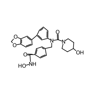 O=C(NO)c1ccc(CN(C(=O)N2CCC(O)CC2)c2cccc(-c3ccc4c(c3)OCO4)c2)cc1